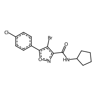 O=C(NC1CCCC1)c1noc(-c2ccc(Cl)cc2)c1Br